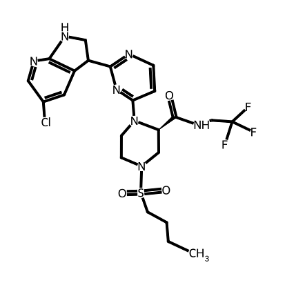 CCCCS(=O)(=O)N1CCN(c2ccnc(C3CNc4ncc(Cl)cc43)n2)[C@@H](C(=O)NCC(F)(F)F)C1